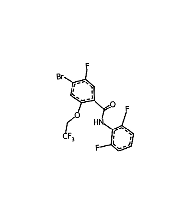 O=C(Nc1c(F)cccc1F)c1cc(F)c(Br)cc1OCC(F)(F)F